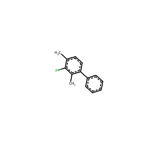 Cc1c[c]c(-c2ccccc2)c(C)c1F